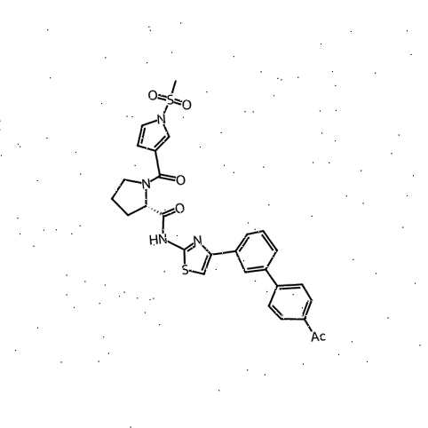 CC(=O)c1ccc(-c2cccc(-c3csc(NC(=O)[C@@H]4CCCN4C(=O)c4ccn(S(C)(=O)=O)c4)n3)c2)cc1